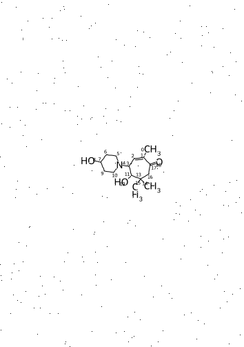 CC1=CC(N2CCC(O)CC2)C(O)C(C)(C)CC1=O